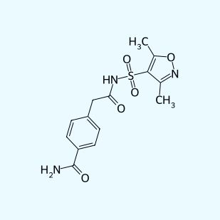 Cc1noc(C)c1S(=O)(=O)NC(=O)Cc1ccc(C(N)=O)cc1